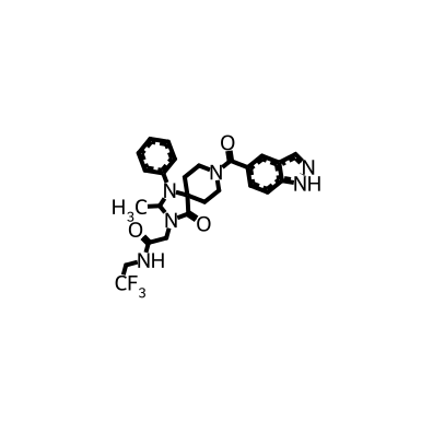 CC1N(CC(=O)NCC(F)(F)F)C(=O)C2(CCN(C(=O)c3ccc4[nH]ncc4c3)CC2)N1c1ccccc1